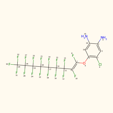 Nc1cc(Cl)c(OC(F)=C(F)C(F)(F)C(F)(F)C(F)(F)C(F)(F)C(F)(F)C(F)(F)C(F)(F)F)cc1N